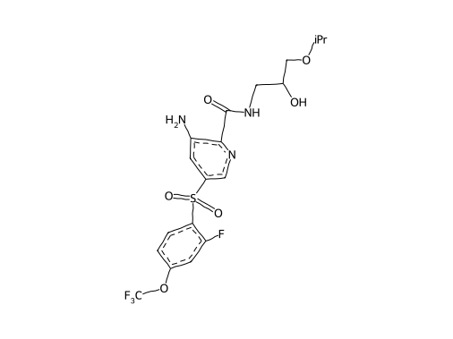 CC(C)OCC(O)CNC(=O)c1ncc(S(=O)(=O)c2ccc(OC(F)(F)F)cc2F)cc1N